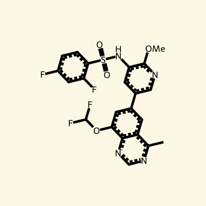 COc1ncc(-c2cc(OC(F)F)c3ncnc(C)c3c2)cc1NS(=O)(=O)c1ccc(F)cc1F